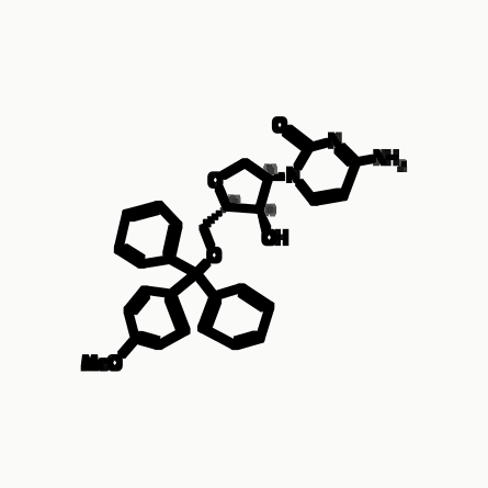 COc1ccc(C(OC[C@@H]2OC[C@H](n3ccc(N)nc3=O)[C@H]2O)(c2ccccc2)c2ccccc2)cc1